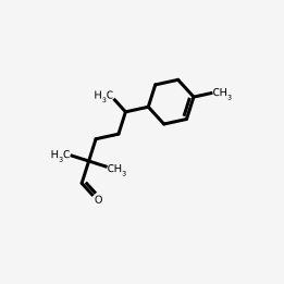 CC1=CCC(C(C)CCC(C)(C)C=O)CC1